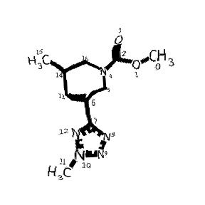 COC(=O)N1CC(c2nnn(C)n2)=CC(C)C1